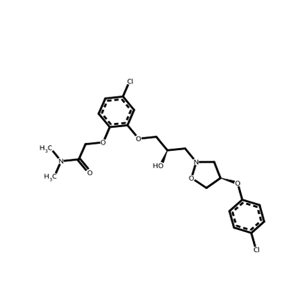 CN(C)C(=O)COc1ccc(Cl)cc1OC[C@H](O)CN1C[C@@H](Oc2ccc(Cl)cc2)CO1